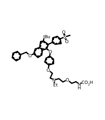 CCN(CCOCCNC(=O)O)CCOc1ccc(Oc2c(-c3ccc(S(C)(=O)=O)cc3)c(C(C)(C)C)cc3cc(OCc4ccccc4)ccc23)cc1